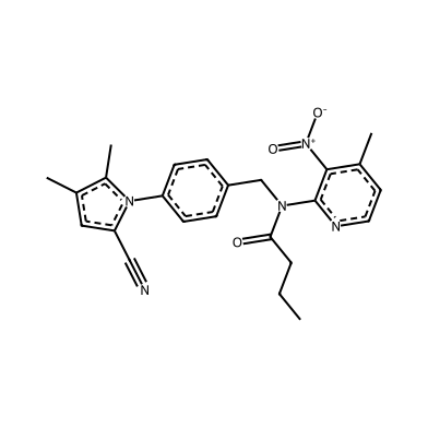 CCCC(=O)N(Cc1ccc(-n2c(C#N)cc(C)c2C)cc1)c1nccc(C)c1[N+](=O)[O-]